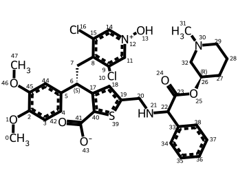 COc1ccc([C@H](Cc2c(Cl)c[n+](O)cc2Cl)c2cc(CNC(C(=O)O[C@@H]3CCCN(C)C3)c3ccccc3)sc2C(=O)[O-])cc1OC